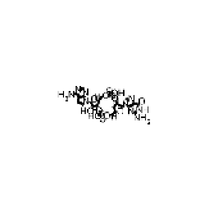 Nc1nc2c(ncn2[C@@H]2O[C@@H]3COP(=O)(O)O[C@H]4[C@@H](O)[C@H](n5ccc6c(N)ncnc65)O[C@@H]4COP(=O)(O)O[C@@H]2C3)c(=O)[nH]1